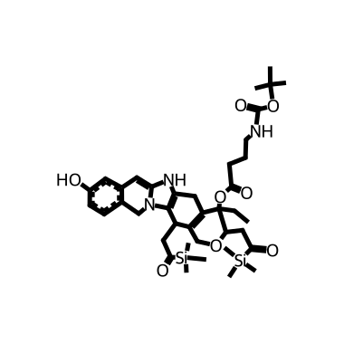 CCC1(OC(=O)CCCNC(=O)OC(C)(C)C)C2=C(COC1CC(=O)[Si](C)(C)C)C(CC(=O)[Si](C)(C)C)C1=C(C2)NC2=Cc3cc(O)ccc3CN21